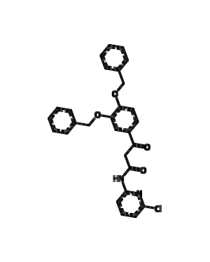 O=C(CC(=O)c1ccc(OCc2ccccc2)c(OCc2ccccc2)c1)Nc1cccc(Cl)n1